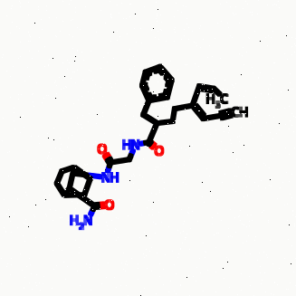 C#C/C=C(\C=C/C)CCC(Cc1ccccc1)C(=O)NCC(=O)NC1C2CCC(CC2)C1C(N)=O